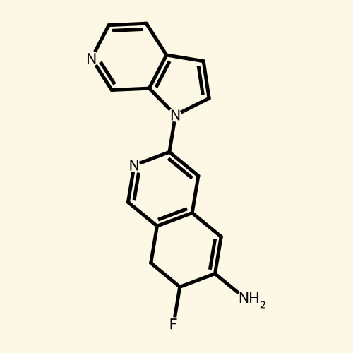 NC1=Cc2cc(-n3ccc4ccncc43)ncc2CC1F